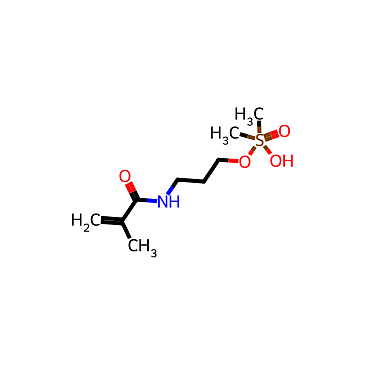 C=C(C)C(=O)NCCCOS(C)(C)(=O)O